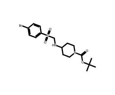 CC(C)(C)OC(=O)N1CCC(NCS(=O)(=O)c2ccc(Br)cc2)CC1